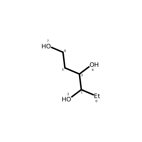 CC[C](O)C(O)CCO